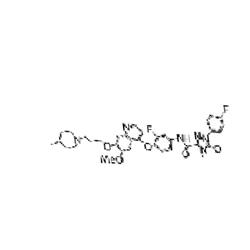 COc1cc2c(Oc3ccc(NC(=O)c4nn(-c5ccc(F)cc5)c(=O)n4C)cc3F)ccnc2cc1OCCCN1CCC(C)CC1